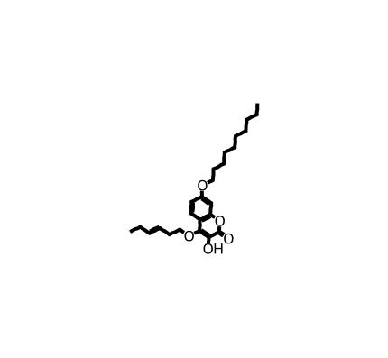 CCC=CCCOc1c(O)c(=O)oc2cc(OCCCCCCCCCC)ccc12